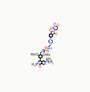 COc1cc(-c2cn(C)c(=O)c3cnc(N(C)C)cc23)cc(OC)c1CN1CC(S(=O)(=O)NCCN2CCN(c3ccc4c(c3)C(=O)N(C3CCC(=O)NC3=O)C4=O)CC2)C1